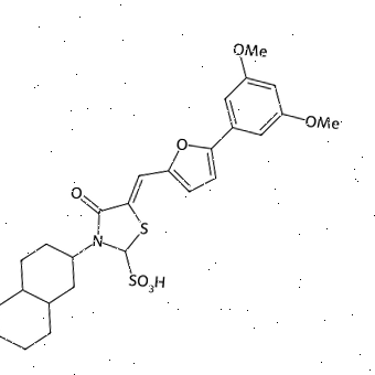 COc1cc(OC)cc(-c2ccc(C=C3SC(S(=O)(=O)O)N(C4CCC5CCCCC5C4)C3=O)o2)c1